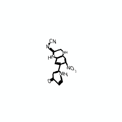 N#CN=C1CNc2cc([N+](=O)[O-])c(-c3cc(=O)cc[nH]3)cc2N1